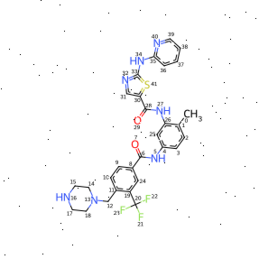 Cc1ccc(NC(=O)c2ccc(CN3CCNCC3)c(C(F)(F)F)c2)cc1NC(=O)c1cnc(Nc2ccccn2)s1